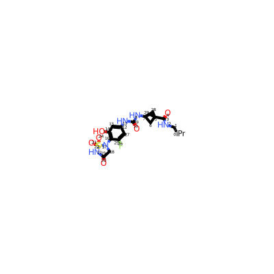 CC(C)CNC(=O)C12CC(NC(=O)Nc3cc(O)c(N4CC(=O)NS4(=O)=O)c(F)c3)(C1)C2